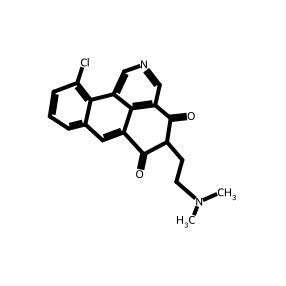 CN(C)CCC1C(=O)c2cncc3c2c(cc2cccc(Cl)c23)C1=O